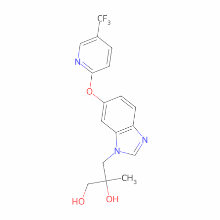 CC(O)(CO)Cn1cnc2ccc(Oc3ccc(C(F)(F)F)cn3)cc21